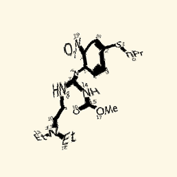 CCCSc1ccc(/N=C(/NCCN(CC)CC)NC(=O)OC)c([N+](=O)[O-])c1